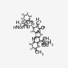 CCCCCCCCC[Si](C)(C)OC(Cc1ccccc1)c1cc2n(c(=O)c1C)Cc1c-2nc2ccc(C)cc2c1[Si](C)(C)C(C)(C)C